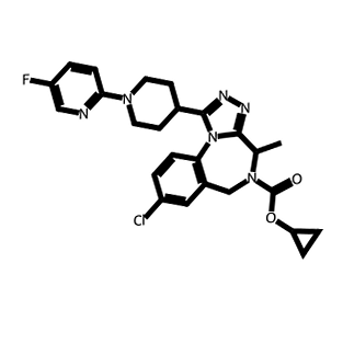 CC1c2nnc(C3CCN(c4ccc(F)cn4)CC3)n2-c2ccc(Cl)cc2CN1C(=O)OC1CC1